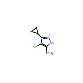 CCOC(=O)c1[nH]nc(C2CC2)c1Cl